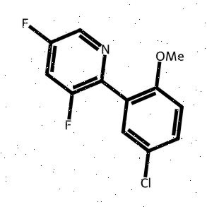 COc1c[c]c(Cl)cc1-c1ncc(F)cc1F